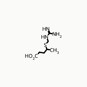 CC(CCC(=O)O)SCNC(=N)N